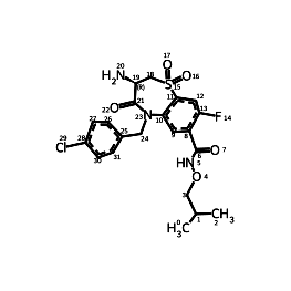 CC(C)CONC(=O)c1cc2c(cc1F)S(=O)(=O)C[C@H](N)C(=O)N2Cc1ccc(Cl)cc1